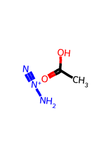 CC(=O)O.N#[N+]N